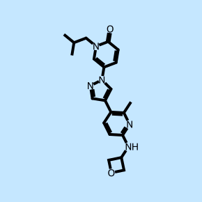 Cc1nc(NC2COC2)ccc1-c1cnn(-c2ccc(=O)n(CC(C)C)c2)c1